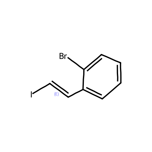 Brc1ccccc1/C=C/I